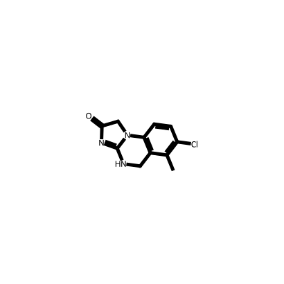 Cc1c(Cl)ccc2c1CNC1=NC(=O)CN12